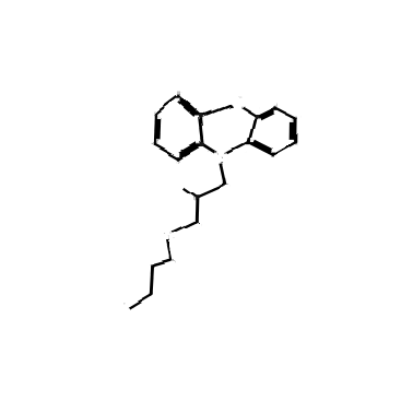 OCCCNCC(O)CN1c2ccccc2Sc2ccccc21